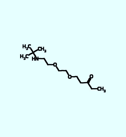 CCC(=O)CCOCCOCCNC(C)(C)C